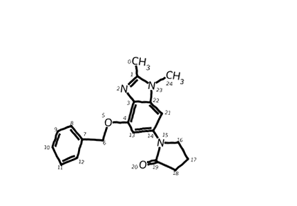 Cc1nc2c(OCc3ccccc3)cc(N3CCCC3=O)cc2n1C